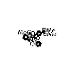 COC(=O)Oc1c(Cc2ccc(C(OC)OC)cc2)c(=O)n(-c2ccccc2)c(=O)n1Cc1ccccc1